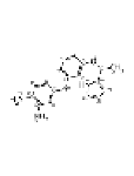 CC(Oc1cccc(Sc2ccc(N)c(N)c2)c1)c1ccc[nH]1